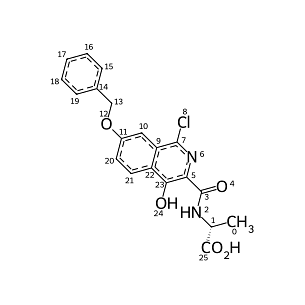 C[C@@H](NC(=O)c1nc(Cl)c2cc(OCc3ccccc3)ccc2c1O)C(=O)O